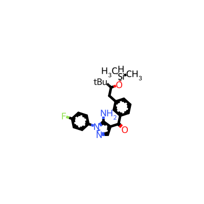 C[SiH](C)OC(Cc1cccc(C(=O)c2cnn(-c3ccc(F)cc3)c2N)c1)C(C)(C)C